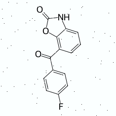 O=C(c1ccc(F)cc1)c1cccc2[nH]c(=O)oc12